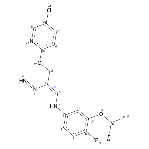 N=N/C(=C\Nc1ccc(F)c(OC(F)F)c1)COc1ccc(Cl)cn1